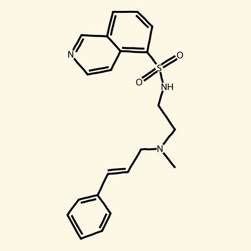 CN(CC=Cc1ccccc1)CCNS(=O)(=O)c1cccc2cnccc12